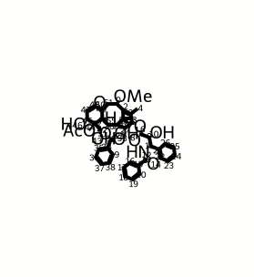 CO[C@@H]1C2=C(C)[C@@H](OC(=O)[C@H](O)[C@@H](NC(=O)c3ccccc3)c3ccccc3)C[C@@](O)([C@@H](OC(=O)c3ccccc3)[C@@H]3[C@@](CO)(OC(C)=O)[C@H](O)C=C[C@]34OC14)C2(C)C